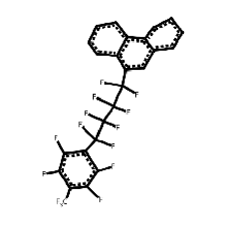 Fc1c(F)c(C(F)(F)C(F)(F)C(F)(F)C(F)(F)c2cc3ccccc3c3ccccc23)c(F)c(F)c1C(F)(F)F